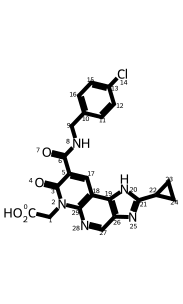 O=C(O)Cn1c(=O)c(C(=O)NCc2ccc(Cl)cc2)cc2c3[nH]c(C4CC4)nc3cnc21